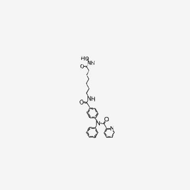 O=C(CCCCCCNC(=O)c1ccc(N(C(=O)c2ccccn2)c2ccccc2)cc1)NO